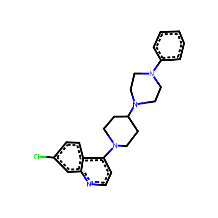 Clc1ccc2c(N3CCC(N4CCN(c5ccccc5)CC4)CC3)ccnc2c1